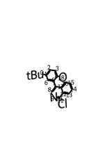 CC(C)(C)c1ccc2c(c1)-c1cnc(Cl)c3cccc(c13)O2